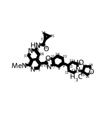 CNc1ncc(-c2nc3cc(C4CCN([C@@]5(C)COC[C@H]5O)CC4)ccc3o2)c2cc(NC(=O)C3CC3)ncc12